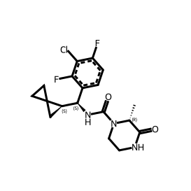 C[C@@H]1C(=O)NCCN1C(=O)N[C@H](c1ccc(F)c(Cl)c1F)[C@H]1CC12CC2